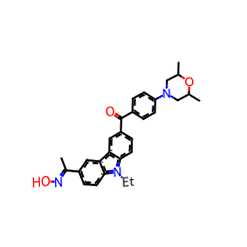 CCn1c2ccc(C(=O)c3ccc(N4CC(C)OC(C)C4)cc3)cc2c2cc(C(C)=NO)ccc21